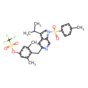 Cc1ccc(S(=O)(=O)n2cc(C(C)C)c3cc(Cc4c(C)cc(OS(=O)(=O)C(F)(F)F)cc4C)ncc32)cc1